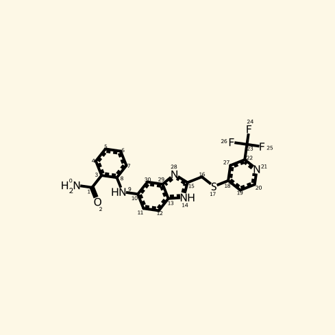 NC(=O)c1ccccc1Nc1ccc2[nH]c(CSc3ccnc(C(F)(F)F)c3)nc2c1